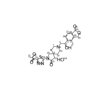 Cc1c([C@@H](O)CN2CCC3(CC2)CC(=O)N(c2nnc(S(C)(=O)=O)s2)C3)ccc2c1COC2=O.Cl